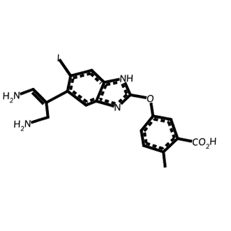 Cc1ccc(Oc2nc3cc(/C(=C/N)CN)c(I)cc3[nH]2)cc1C(=O)O